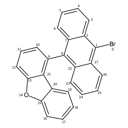 Brc1c2ccccc2c(-c2cccc3oc4ccccc4c23)c2ccccc12